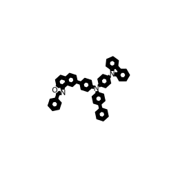 c1ccc(-c2ccc(N(c3ccc(-c4ccc5ccc6oc(-c7ccccc7)nc6c5c4)cc3)c3ccc(-n4c5ccccc5c5ccccc54)cc3)cc2)cc1